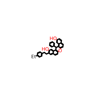 CCc1ccc(CCc2cc3ccc4c(c3cc2O)C(c2ccccc2)c2c(ccc3ccc(O)cc23)O4)cc1